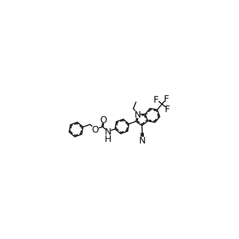 CCn1c(-c2ccc(NC(=O)OCc3ccccc3)cc2)c(C#N)c2ccc(C(F)(F)F)cc21